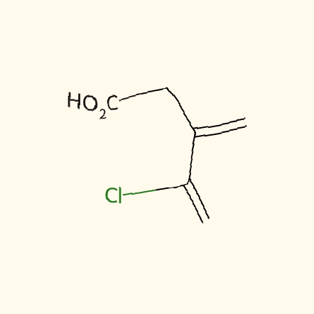 C=C(Cl)C(=C)CC(=O)O